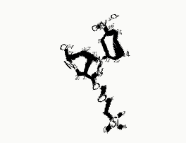 C[Si](C)(C)CCOCOc1nn(-c2cccc([N+](=O)[O-])c2)c2cc(Cl)ncc12